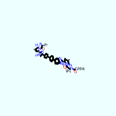 COC(=O)N[C@H](C(=O)N1C[C@H](C)C[C@H]1c1nc2cc(-c3ccc(-c4ccc(-c5c[nH]c([C@@H]6C[C@H](C)CN6C(=O)[C@@H](N)C(C)C)n5)cc4)cc3)ccc2[nH]1)C(C)C